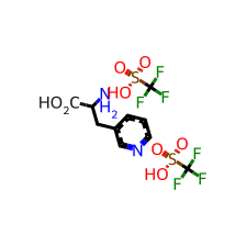 NC(Cc1cccnc1)C(=O)O.O=S(=O)(O)C(F)(F)F.O=S(=O)(O)C(F)(F)F